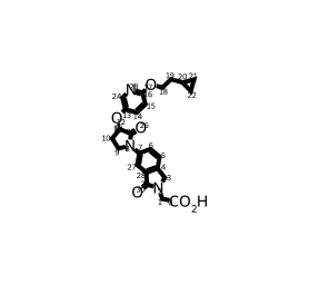 O=C(O)CN1Cc2ccc(N3CC[C@@H](Oc4ccc(OCCC5CC5)nc4)C3=O)cc2C1=O